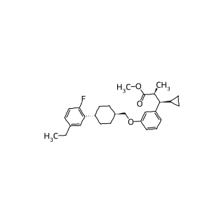 CCc1ccc(F)c([C@H]2CC[C@H](COc3cccc([C@H](C4CC4)[C@H](C)C(=O)OC)c3)CC2)c1